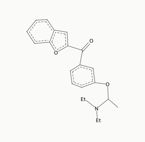 CCN(CC)C(C)Oc1cccc(C(=O)c2cc3ccccc3o2)c1